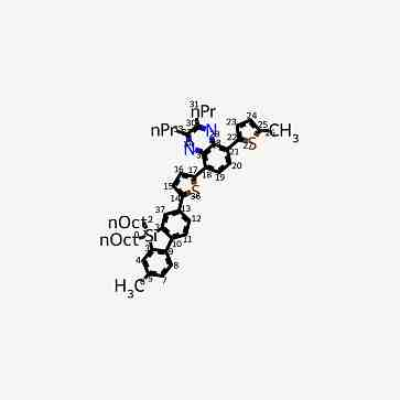 CCCCCCCC[Si]1(CCCCCCCC)c2cc(C)ccc2-c2ccc(-c3ccc(-c4ccc(-c5ccc(C)s5)c5nc(CCC)c(CCC)nc45)s3)cc21